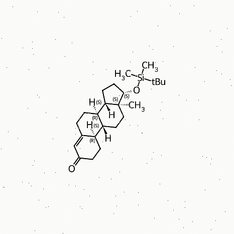 CC(C)(C)[Si](C)(C)O[C@H]1CC[C@H]2[C@@H]3CCC4=CC(=O)CC[C@@H]4[C@H]3CC[C@]12C